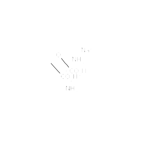 CC(=O)O.N.N.O=C([O-])O.[Na+]